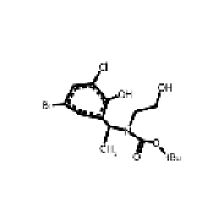 CC(c1cc(Br)cc(Cl)c1O)N(CCO)C(=O)OC(C)(C)C